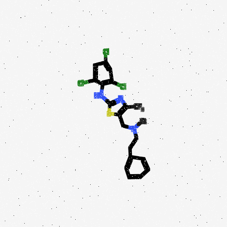 CCN(CCc1ccccc1)Cc1sc(Nc2c(Cl)cc(Cl)cc2Cl)nc1C(F)(F)F